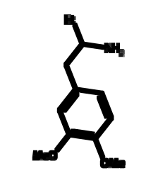 CCC(N)Cc1ccc(OC)c(OC)c1